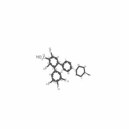 C[C@H]1CC[C@H](c2ccc(-c3cc(F)c(C(=O)O)c(F)c3-c3cc(F)c(F)c(F)c3)cc2)CC1